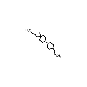 CCCC[C@]1(F)CC[C@@H](C2CCC(CCC)CC2)CC1